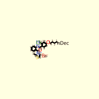 CCCCCCCCCCCCCCOc1ccc(C(=O)Nc2ccccc2C[n+]2ccsc2C)c(Cl)c1.[Br-]